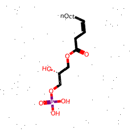 CCCCCCCC/C=C\CC(=O)OC[C@@H](O)COP(=O)(O)O